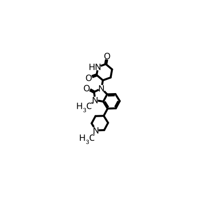 CN1CCC(c2cccc3c2n(C)c(=O)n3C2CCC(=O)NC2=O)CC1